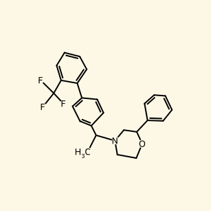 CC(c1ccc(-c2ccccc2C(F)(F)F)cc1)N1CCOC(c2ccccc2)C1